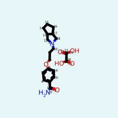 NC(=O)c1ccc(OCCCN2CC3CCCC3C2)cc1.O=C(O)C(=O)O